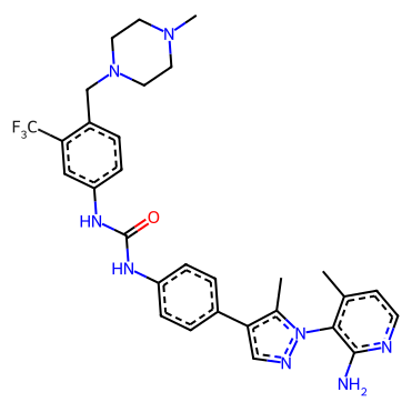 Cc1ccnc(N)c1-n1ncc(-c2ccc(NC(=O)Nc3ccc(CN4CCN(C)CC4)c(C(F)(F)F)c3)cc2)c1C